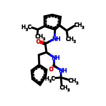 CC(C)c1cccc(C(C)C)c1NC(=O)C(Cc1ccccc1)NC(=O)NC(C)(C)C